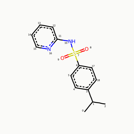 CC(C)c1ccc(S(=O)(=O)Nc2ccccn2)cc1